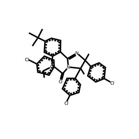 CCOc1cc(C(C)(C)C)ccc1C1=NC(C)(c2ccc(Cl)cc2)C(C)(c2ccc(Cl)cc2)N1C(=O)c1ccc(Cl)cc1